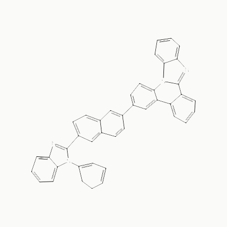 C1=CCCC(n2c(-c3ccc4cc(-c5ccc6c(c5)c5ccccc5c5nc7ccccc7n65)ccc4c3)nc3ccccc32)=C1